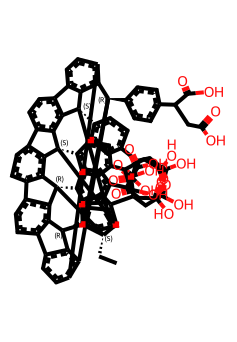 CC[C@]12C3=C4C5=C1[C@@]1(c6ccc(C(CC(=O)O)C(=O)O)cc6)c6c7ccc8c6[C@]5(c5ccc(C(CC(=O)O)C(=O)O)cc5)c5c-8ccc6c5[C@]4(c4ccc(C(CC(=O)O)C(=O)O)cc4)c4c-6ccc5c4[C@]3(c3ccc(C(CC(=O)O)C(=O)O)cc3)c3c-5ccc4c3[C@]2(c2ccc(C(CC(=O)O)C(=O)O)cc2)c2c-4ccc-7c21